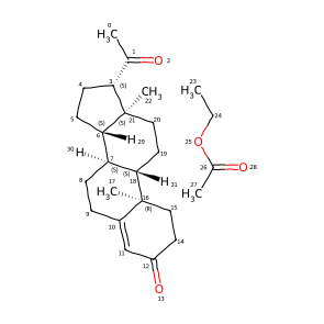 CC(=O)[C@H]1CC[C@H]2[C@@H]3CCC4=CC(=O)CC[C@]4(C)[C@H]3CC[C@]12C.CCOC(C)=O